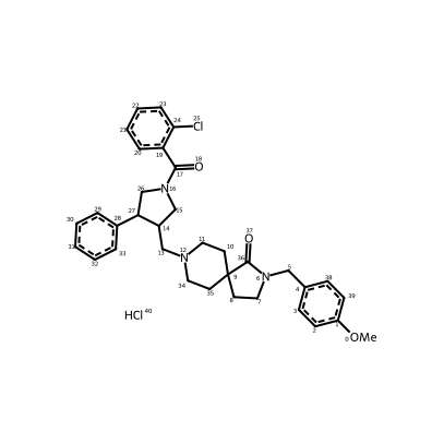 COc1ccc(CN2CCC3(CCN(CC4CN(C(=O)c5ccccc5Cl)CC4c4ccccc4)CC3)C2=O)cc1.Cl